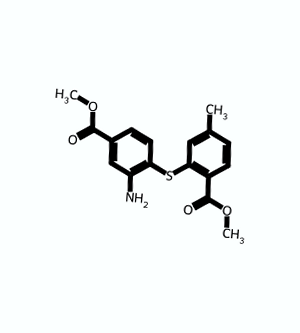 COC(=O)c1ccc(Sc2cc(C)ccc2C(=O)OC)c(N)c1